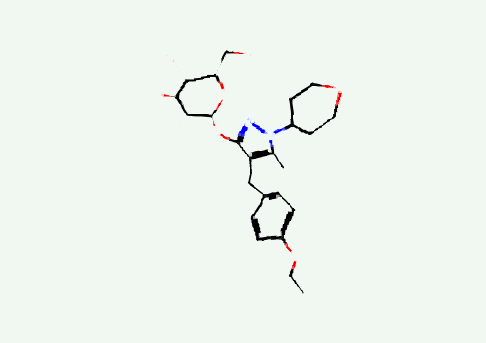 CCOc1ccc(Cc2c(O[C@@H]3O[C@H](CO)[C@@H](O)[C@H](O)[C@H]3O)nn(C3CCOCC3)c2C)cc1